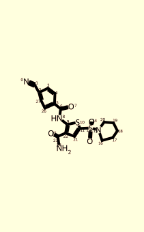 N#Cc1ccc(C(=O)Nc2sc(S(=O)(=O)N3CCCCC3)cc2C(N)=O)cc1